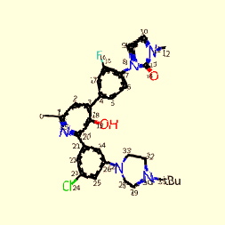 Cc1cc(-c2ccc(-n3ccn(C)c3=O)c(F)c2)c(O)c(-c2cc(Cl)cc(N3CCN(C(C)(C)C)CC3)c2)n1